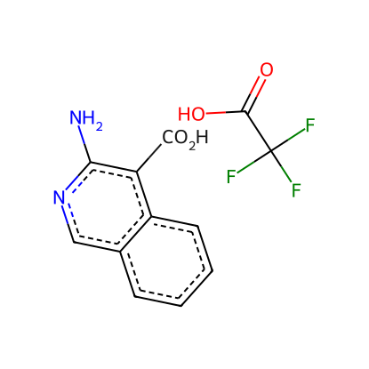 Nc1ncc2ccccc2c1C(=O)O.O=C(O)C(F)(F)F